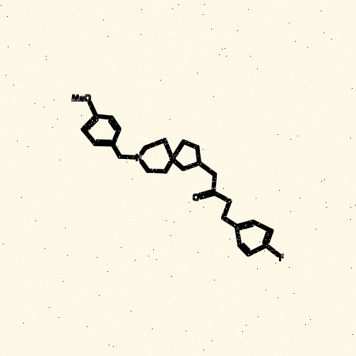 COc1ccc(CN2CCC3(CCC(CC(=O)CCc4ccc(F)cc4)C3)CC2)cc1